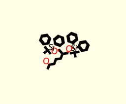 CC(=O)CCCC(CO[Si](c1ccccc1)(c1ccccc1)C(C)(C)C)CO[Si](c1ccccc1)(c1ccccc1)C(C)(C)C